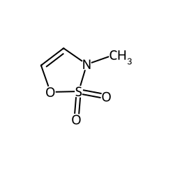 CN1C=COS1(=O)=O